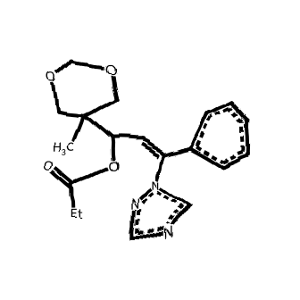 CCC(=O)OC(C=C(c1ccccc1)n1cncn1)C1(C)COCOC1